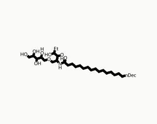 CCCCCCCCCCCCCCCCCCCCCCCCCC(=O)NC(COCC(O)C(O)C(O)CO)C(O)C(O)CC